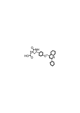 O=C(O)C1CC12CC(c1ccc(OCc3cc(-c4ccccc4)nc4ccccc34)cc1)NC2=O